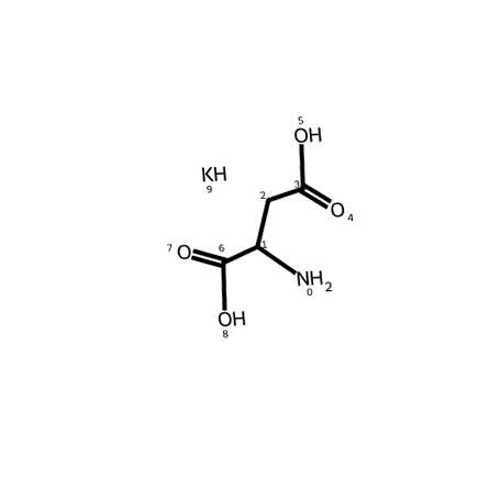 NC(CC(=O)O)C(=O)O.[KH]